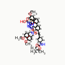 COc1ccc(CN(Cc2ccc(OC)cc2)S(=O)(=O)c2c(C#CC3=CCC(NC(=O)OC(C)(C)C)CC3)ccc(-c3cccc4sc(NC(=O)O)nc34)c2-c2nnnn2Cc2ccc(OC)cc2)cc1